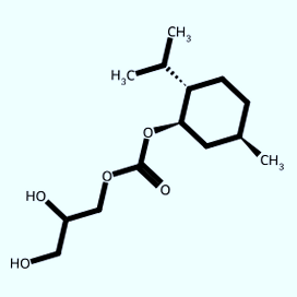 CC(C)[C@@H]1CC[C@@H](C)C[C@H]1OC(=O)OCC(O)CO